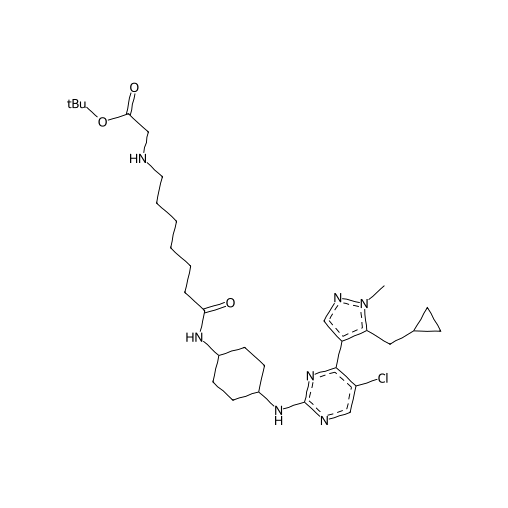 Cn1ncc(-c2nc(NC3CCC(NC(=O)CCCCCCNCC(=O)OC(C)(C)C)CC3)ncc2Cl)c1CC1CC1